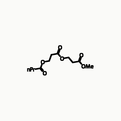 CCCC(=O)OCCC(=O)OCCC(=O)OC